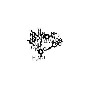 CCn1nc(C)cc1C(=O)Nc1nc2cc(C(N)=O)cc(OC)c2n1CC=CCn1c(NC(=O)c2cc(C)nn2CC)nc2cc(C(N)=O)cc(OCC#CC3CCN(S(=O)(=O)N(C)C)CC3)c21